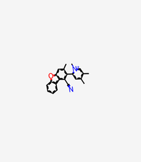 Cc1cc(-c2c(C)cc3oc4ccccc4c3c2C#N)[n+](C)cc1C